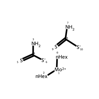 CCCCC[CH2][Mo+2][CH2]CCCCC.NC(=S)[S-].NC(=S)[S-]